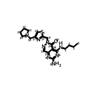 CCCCNc1nc(N)nc2cnn(Cc3nc(CN4CCCC4)cs3)c(=O)c12